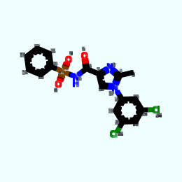 Cc1nc(C(=O)NS(=O)(=O)c2ccccc2)cn1-c1cc(Cl)cc(Cl)c1